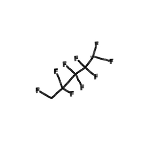 FCC(F)(F)C(F)(F)C(F)(F)[C](F)F